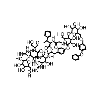 CC(c1ccccc1)C(NC(=O)CN)C(=O)NC(Cc1ccc(OC2OC(CO)C(OC3OC(COCc4ccc(Oc5ccccc5)cc4)C(O)C(O)C3O)C(O)C2O)cc1)C(=O)NC(C(=O)NC(C(=O)NC([C]=O)CO)C(O)C1CNC(=N)N1C1OC(CO)C(O)C(O)C1O)C(O)C1CNC(=N)N1